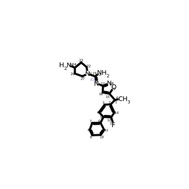 CC(c1ccc(-c2ccccc2)c(F)c1)c1cc(/N=C(\N)N2CCC(N)CC2)no1